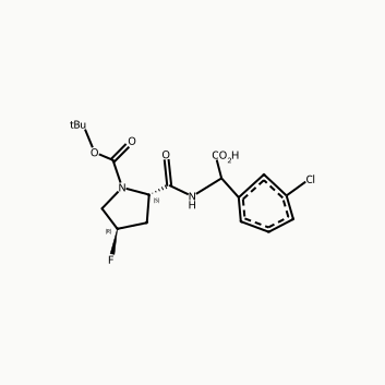 CC(C)(C)OC(=O)N1C[C@H](F)C[C@H]1C(=O)NC(C(=O)O)c1cccc(Cl)c1